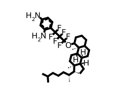 CC(C)CCC[C@@H](C)[C@H]1CC[C@H]2[C@@H]3CCC4CCCC(OC(F)(F)C(F)(F)C(F)(F)c5ccc(N)cc5N)[C@]4(C)[C@H]3CC[C@]12C